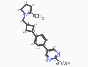 COc1ncc(-c2ccc(C3CC(CN4CCC[C@H]4C)C3)cc2)cn1